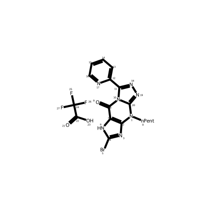 CCCCCn1c2nc(Br)[nH]c2c(=O)n2c(-c3ccccn3)nnc12.O=C(O)C(F)(F)F